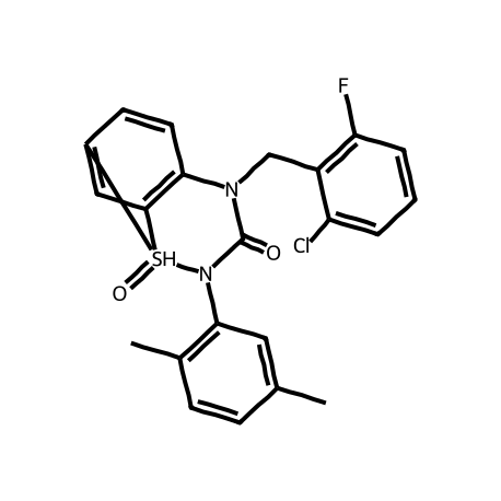 Cc1ccc(C)c(N2C(=O)N(Cc3c(F)cccc3Cl)c3ccc4cc3[SH]42=O)c1